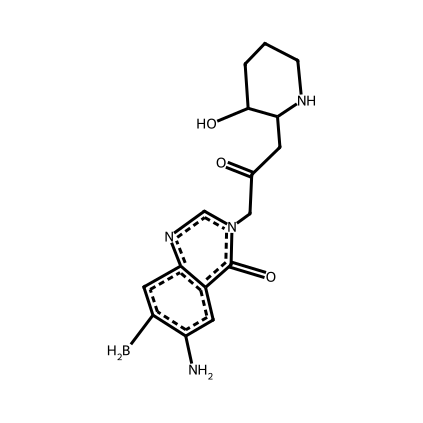 Bc1cc2ncn(CC(=O)CC3NCCCC3O)c(=O)c2cc1N